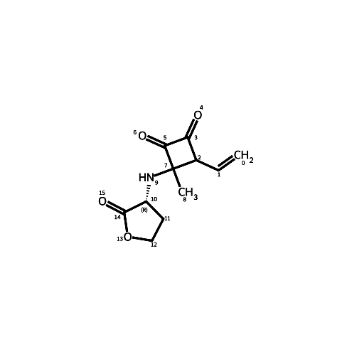 C=CC1C(=O)C(=O)C1(C)N[C@@H]1CCOC1=O